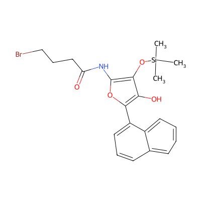 C[Si](C)(C)Oc1c(NC(=O)CCCBr)oc(-c2cccc3ccccc23)c1O